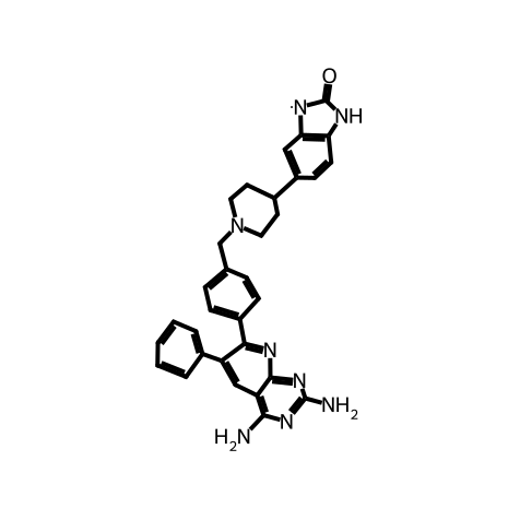 Nc1nc(N)c2cc(-c3ccccc3)c(-c3ccc(CN4CCC(c5ccc6c(c5)[N]C(=O)N6)CC4)cc3)nc2n1